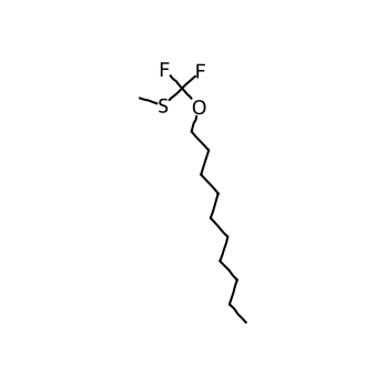 CCCCCCCCCCOC(F)(F)SC